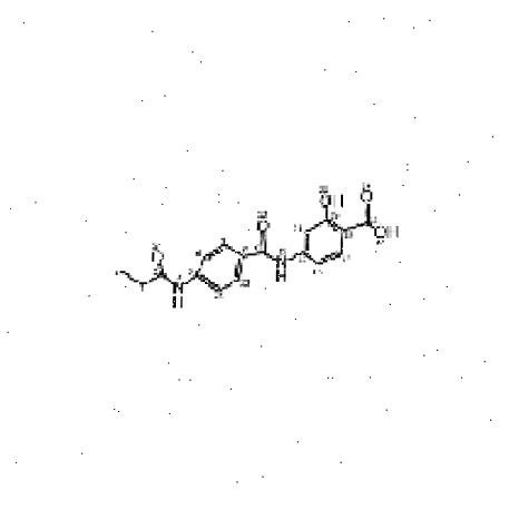 CCC(=O)Nc1ccc(C(=O)Nc2ccc(C(=O)O)c(O)c2)cc1